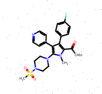 COC(=O)c1c(-c2ccc(F)cc2)c(-c2ccncc2)c(N2CCN(S(C)(=O)=O)CC2)n1C